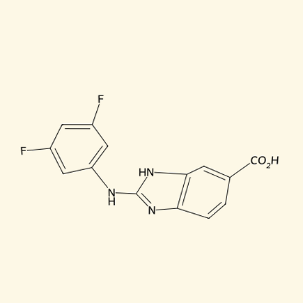 O=C(O)c1ccc2nc(Nc3cc(F)cc(F)c3)[nH]c2c1